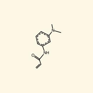 C=CC(=O)Nc1cccc(N(C)C)c1